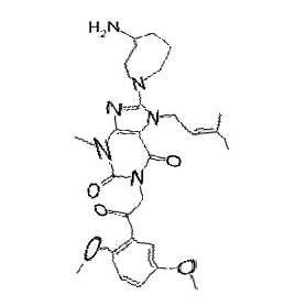 COc1ccc(OC)c(C(=O)Cn2c(=O)c3c(nc(N4CCCC(N)C4)n3CC=C(C)C)n(C)c2=O)c1